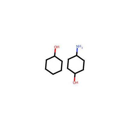 NC1CCC(O)CC1.OC1CCCCC1